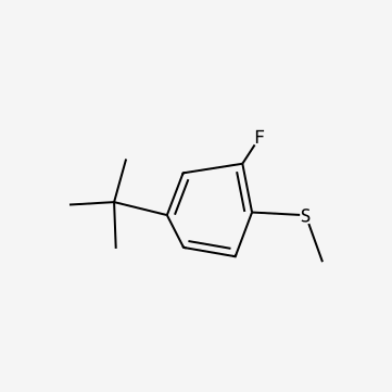 CSc1ccc(C(C)(C)C)cc1F